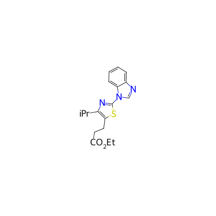 CCOC(=O)CCc1sc(-n2cnc3ccccc32)nc1C(C)C